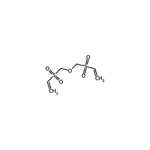 C=CS(=O)(=O)COCS(=O)(=O)C=C